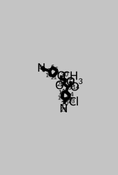 CC1(COc2ccc(C#N)cc2)OC(=O)C(c2ccc(C#N)c(Cl)c2)C1=O